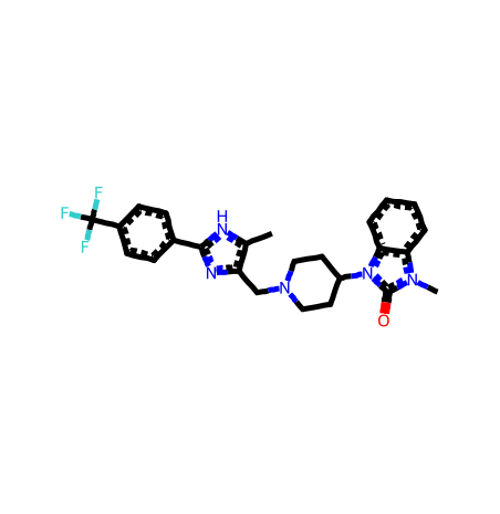 Cc1[nH]c(-c2ccc(C(F)(F)F)cc2)nc1CN1CCC(n2c(=O)n(C)c3ccccc32)CC1